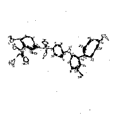 COc1ccc(S(=O)(=O)c2ccc(Oc3ccc(C)cc3-c3ccc(F)cc3)cc2)cc1S(=O)(=O)O